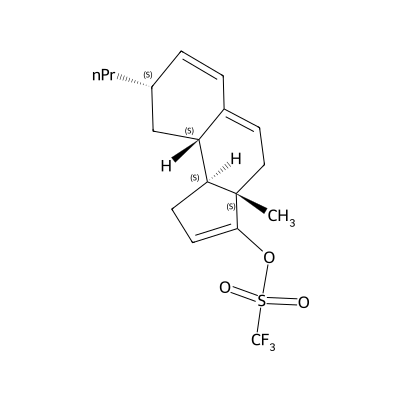 CCC[C@@H]1C=CC2=CC[C@]3(C)C(OS(=O)(=O)C(F)(F)F)=CC[C@H]3[C@@H]2C1